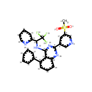 CS(=O)(=O)c1cncc(-c2nc(NC(c3ccccn3)C(F)(F)F)c3c(-c4ccccc4)cccc3n2)c1